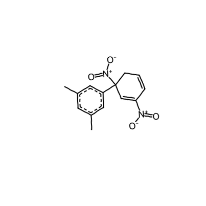 Cc1cc(C)cc(C2([N+](=O)[O-])C=C([N+](=O)[O-])C=CC2)c1